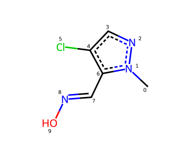 Cn1ncc(Cl)c1C=NO